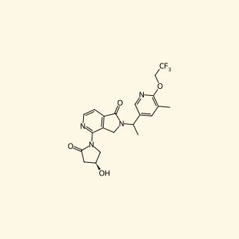 Cc1cc(C(C)N2Cc3c(ccnc3N3C[C@@H](O)CC3=O)C2=O)cnc1OCC(F)(F)F